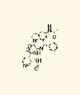 CC(=O)Nc1cc2c3c(c1)C(c1ccccc1)=N[C@@H](NC(=O)c1ccncc1NC(C)=O)C(=O)N3CC2